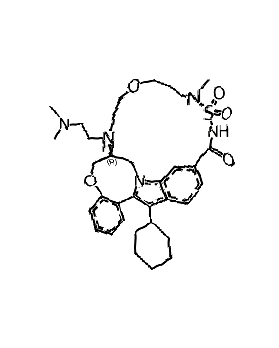 CN(C)CCN1CCOCCN(C)S(=O)(=O)NC(=O)c2ccc3c(C4CCCCC4)c4n(c3c2)C[C@@H]1COc1ccccc1-4